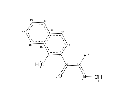 Cc1c(C(=O)C(F)=NO)ccc2ccccc12